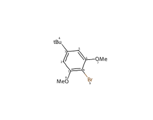 COc1cc(C(C)(C)C)cc(OC)c1Br